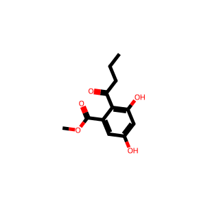 CCCC(=O)c1c(O)cc(O)cc1C(=O)OC